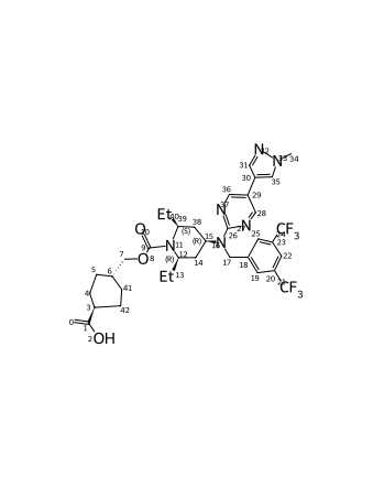 C=C(O)[C@H]1CC[C@H](COC(=O)N2[C@H](CC)C[C@H](N(Cc3cc(C(F)(F)F)cc(C(F)(F)F)c3)c3ncc(-c4cnn(C)c4)cn3)C[C@@H]2CC)CC1